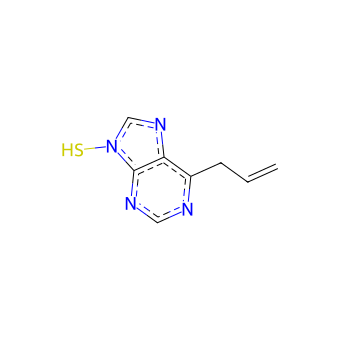 C=CCc1ncnc2c1ncn2S